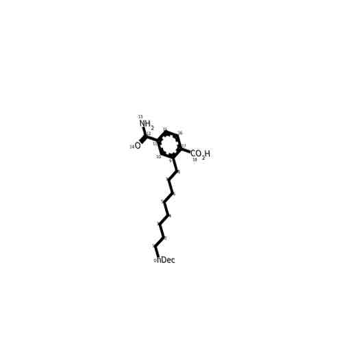 CCCCCCCCCCCCCCCCCCc1cc(C(N)=O)ccc1C(=O)O